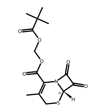 CC1=C(C(=O)OCOC(=O)C(C)(C)C)N2C(=O)C(=O)[C@@H]2SC1